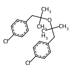 CC(C)(Cc1ccc(Cl)cc1)OC(C)(C)Cc1ccc(Cl)cc1